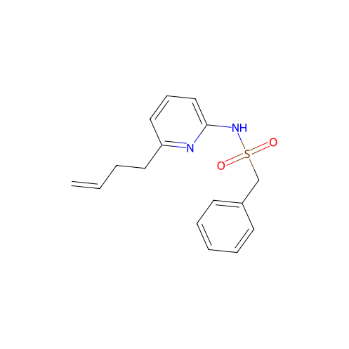 C=CCCc1cccc(NS(=O)(=O)Cc2ccccc2)n1